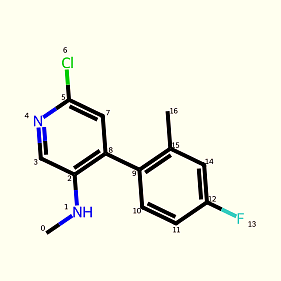 CNc1cnc(Cl)cc1-c1ccc(F)cc1C